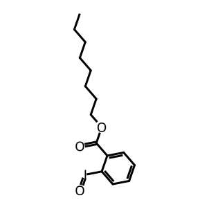 CCCCCCCCOC(=O)c1ccccc1I=O